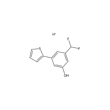 Oc1cc(-c2cccs2)cc(C(F)F)c1.[H+]